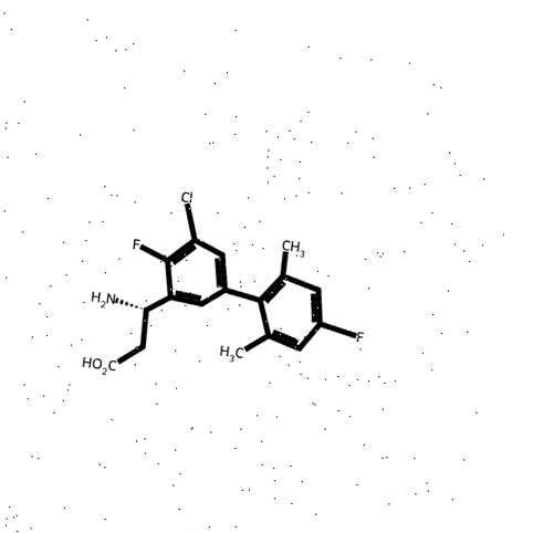 Cc1cc(F)cc(C)c1-c1cc(Cl)c(F)c([C@@H](N)CC(=O)O)c1